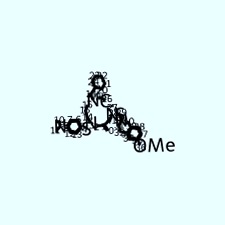 C=C1CN(Sc2ccc(N(C)C)cc2)CCCN(CC2CCCCC2)CCCN(SN2CCc3cc(OC)ccc3C2)C1